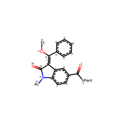 CCCCCC(=O)c1ccc2c(c1)/C(=C(/OCC)c1ccccc1)C(=O)N2C(C)=O